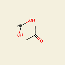 CC(C)=O.OBO